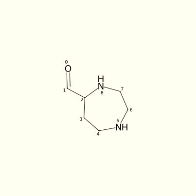 O=CC1CCNCCN1